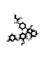 C=CC(=O)N[C@H]1CC[C@@H](c2c(-c3ccc(Oc4cccc(C)n4)c(OC)c3)c3c(N)ncnc3n2C)CC1